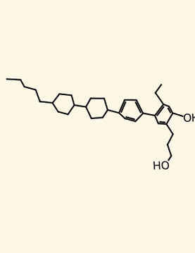 CCCCCC1CCC(C2CCC(c3ccc(-c4cc(CCCO)c(O)cc4CC)cc3)CC2)CC1